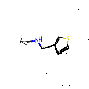 CC(=O)NCc1ccsc1